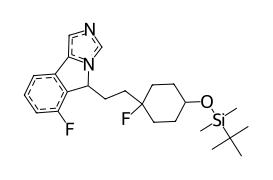 CC(C)(C)[Si](C)(C)OC1CCC(F)(CCC2c3c(F)cccc3-c3cncn32)CC1